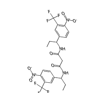 CCC(NC(=O)CC(=O)NC(CC)c1ccc([N+](=O)[O-])c(C(F)(F)F)c1)c1ccc([N+](=O)[O-])c(C(F)(F)F)c1